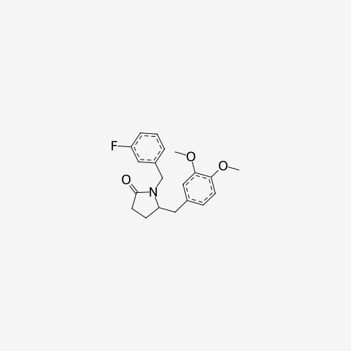 COc1ccc(CC2CCC(=O)N2Cc2cccc(F)c2)cc1OC